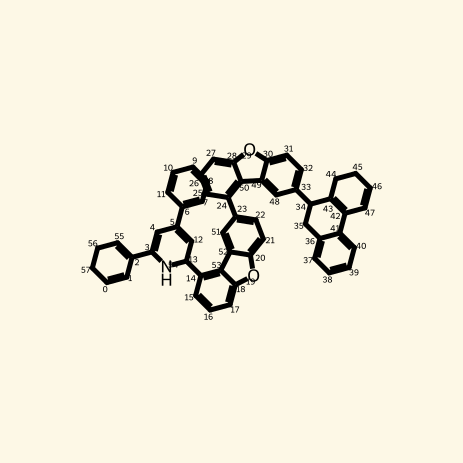 C1=CC(C2=CC(c3ccccc3)=CC(c3cccc4oc5ccc(-c6cccc7oc8ccc(C9Cc%10ccccc%10C%10=C9CCC=C%10)cc8c67)cc5c34)N2)=CCC1